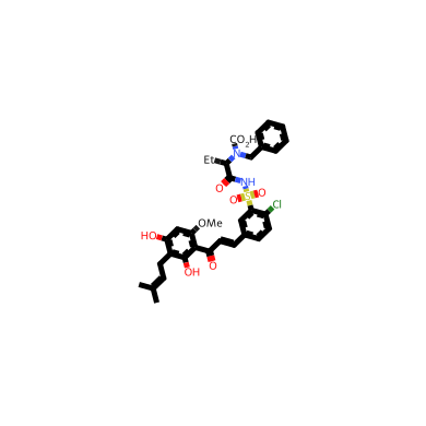 CCC(C(=O)NS(=O)(=O)c1cc(C=CC(=O)c2c(OC)cc(O)c(CC=C(C)C)c2O)ccc1Cl)N(Cc1ccccc1)C(=O)O